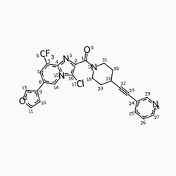 O=C(c1nc2c(C(F)(F)F)cc(-c3ccoc3)cn2c1Cl)N1CCC(C#Cc2cccnc2)CC1